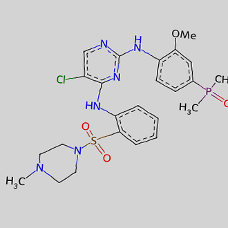 COc1cc(P(C)(C)=O)ccc1Nc1ncc(Cl)c(Nc2ccccc2S(=O)(=O)N2CCN(C)CC2)n1